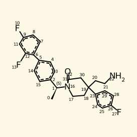 C[C@@H](c1ccc(-c2ccc(F)cc2F)cc1)N1CCC(CCN)(c2ccc(F)cc2)CC1=O